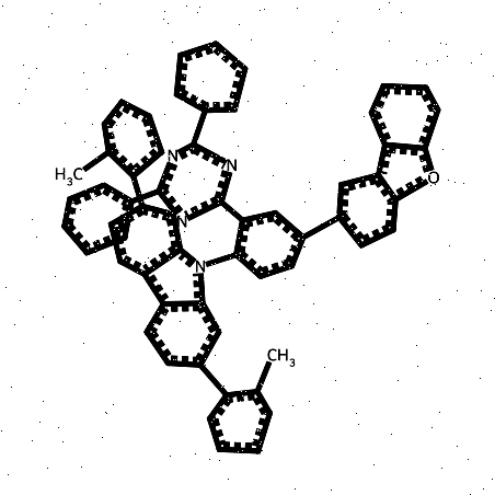 Cc1ccccc1-c1ccc2c3ccc(-c4ccccc4C)cc3n(-c3ccc(-c4ccc5oc6ccccc6c5c4)cc3-c3nc(-c4ccccc4)nc(-c4ccccc4)n3)c2c1